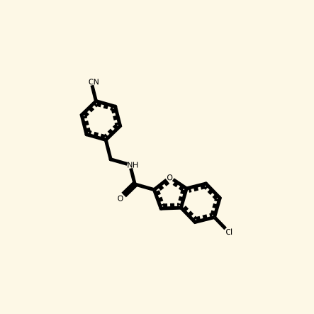 N#Cc1ccc(CNC(=O)c2cc3cc(Cl)ccc3o2)cc1